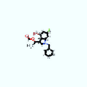 CC(OC=O)c1cn(Cc2ccccc2)c2cc(F)cc(Br)c12